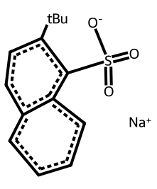 CC(C)(C)c1ccc2ccccc2c1S(=O)(=O)[O-].[Na+]